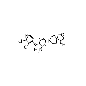 C[C@@H]1COCC12CCN(c1cnc(Sc3ccnc(Cl)c3Cl)c(N)n1)CC2